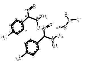 Cc1ccc(C([S+]=O)N(C)C)cc1.Cc1ccc(C([S+]=O)N(C)C)cc1.[O-]B([O-])OF